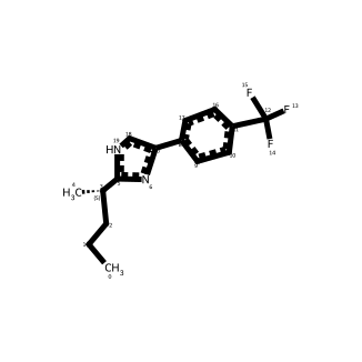 CCC[C@H](C)c1nc(-c2ccc(C(F)(F)F)cc2)c[nH]1